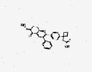 O=C(O)NC1(c2ccc(-c3nc4c(cc3-c3ccccc3)C(=O)C(=NO)CC4)cc2)CCC1